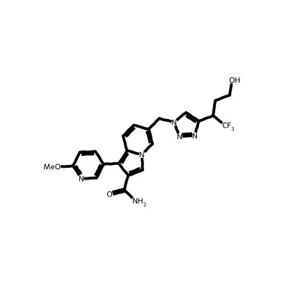 COc1ccc(-c2c(C(N)=O)cn3cc(Cn4cc(C(CCO)C(F)(F)F)nn4)ccc23)cn1